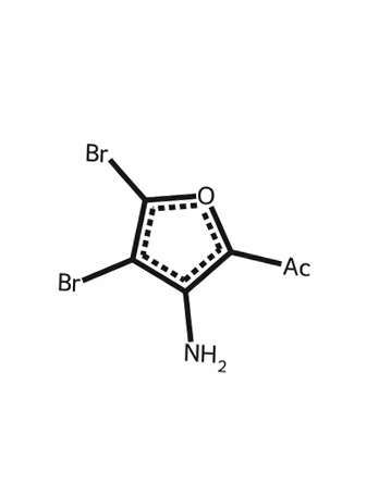 CC(=O)c1oc(Br)c(Br)c1N